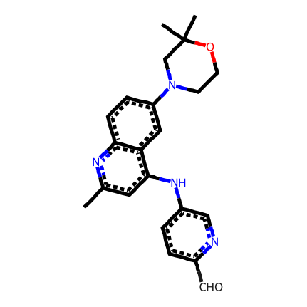 Cc1cc(Nc2ccc(C=O)nc2)c2cc(N3CCOC(C)(C)C3)ccc2n1